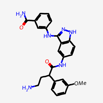 COc1cccc(C(CCN)C(=O)Nc2ccc3[nH]nc(Nc4cccc(C(N)=O)c4)c3c2)c1